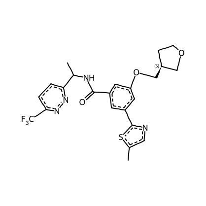 Cc1cnc(-c2cc(OC[C@H]3CCOC3)cc(C(=O)NC(C)c3ccc(C(F)(F)F)nn3)c2)s1